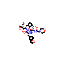 C[C@H](NC(=O)CN1CCOCC1)C(=O)N[C@@H](Cc1ccc2occc2c1)C(=O)N[C@@H](CC1CCCC1)C(=O)[C@@]1(C)CO1